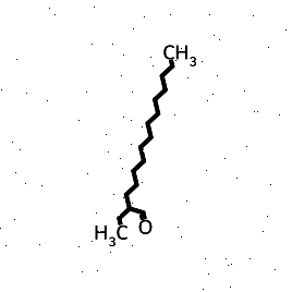 CCCCCCCCCCCCCC(C=O)CC